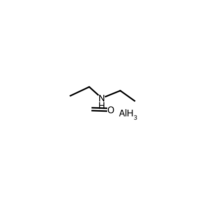 C=O.CCNCC.[AlH3]